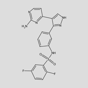 Nc1nccc(-c2c[nH]nc2-c2cccc(NS(=O)(=O)c3cc(F)ccc3F)c2)n1